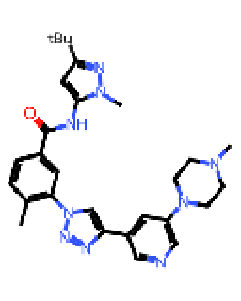 Cc1ccc(C(=O)Nc2cc(C(C)(C)C)nn2C)cc1-n1cc(-c2cncc(N3CCN(C)CC3)c2)nn1